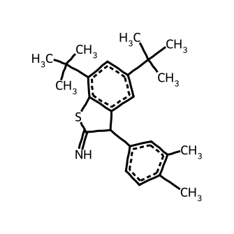 Cc1ccc(C2C(=N)Sc3c2cc(C(C)(C)C)cc3C(C)(C)C)cc1C